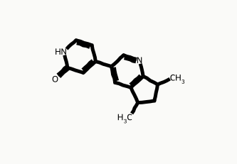 CC1CC(C)c2ncc(-c3cc[nH]c(=O)c3)cc21